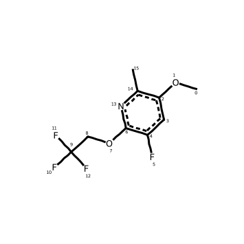 COc1cc(F)c(OCC(F)(F)F)nc1C